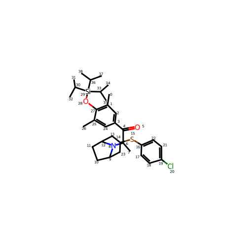 Cc1cc(C(=O)C(C)N2C3CCC2CC(Sc2ccc(Cl)cc2)C3)cc(C)c1O[Si](C(C)C)(C(C)C)C(C)C